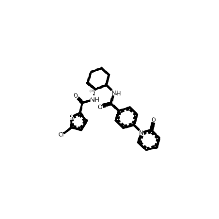 O=C(NC1CCCC[C@H]1NC(=O)c1ccc(Cl)s1)c1ccc(-n2ccccc2=O)cc1